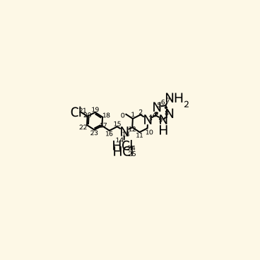 CC1CN(c2nc(N)n[nH]2)CCC1N(C)CCc1ccc(Cl)cc1.Cl.Cl